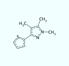 Cc1c(-c2[c]ccs2)nn(C)c1C